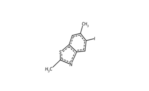 Cc1nc2cc(I)c(C)cc2s1